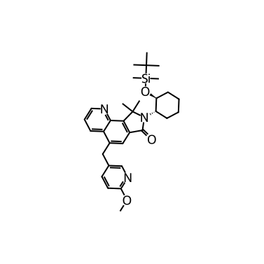 COc1ccc(Cc2cc3c(c4ncccc24)C(C)(C)N([C@H]2CCCC[C@@H]2O[Si](C)(C)C(C)(C)C)C3=O)cn1